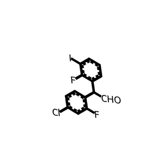 O=CC(c1ccc(Cl)cc1F)c1cccc(I)c1F